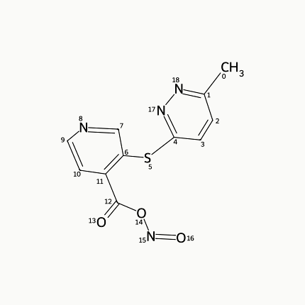 Cc1ccc(Sc2cnccc2C(=O)ON=O)nn1